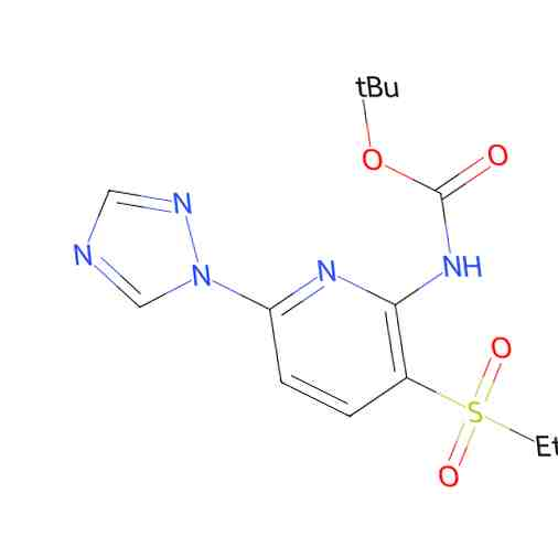 CCS(=O)(=O)c1ccc(-n2cncn2)nc1NC(=O)OC(C)(C)C